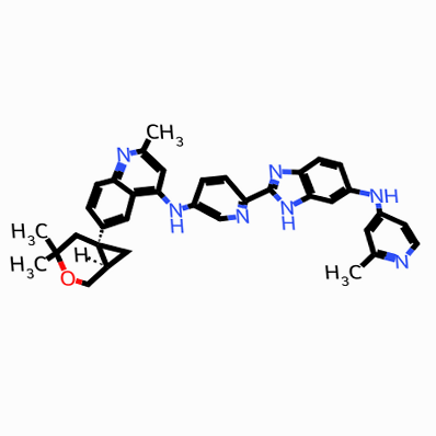 Cc1cc(Nc2ccc3nc(-c4ccc(Nc5cc(C)nc6ccc([C@]78C[C@H]7COC(C)(C)C8)cc56)cn4)[nH]c3c2)ccn1